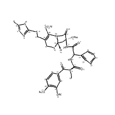 CO[C@@]1(NC(=O)C(NC(=O)N(C)C(=O)c2ccc(OC(C)=O)c(OC(C)=O)c2)c2ccccc2)C(=O)N2C(C(=O)O)=C(CSc3nnc(C)s3)CS[C@H]21